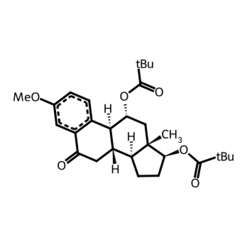 COc1ccc2c(c1)C(=O)C[C@@H]1[C@@H]2[C@H](OC(=O)C(C)(C)C)C[C@]2(C)[C@@H](OC(=O)C(C)(C)C)CC[C@@H]12